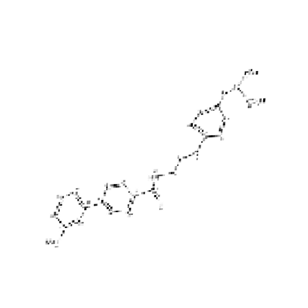 CCCCC(Cc1ccc(OCCNC(=O)c2ccc(-c3cccc(OC)c3)cc2)cc1)C(=O)O